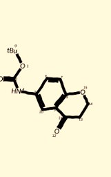 CC(C)(C)OC(=O)Nc1ccc2c(c1)C(=O)CCO2